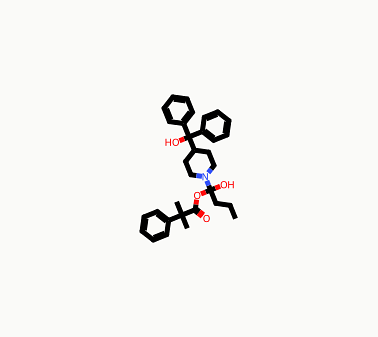 CCCC(O)(OC(=O)C(C)(C)c1ccccc1)N1CCC(C(O)(c2ccccc2)c2ccccc2)CC1